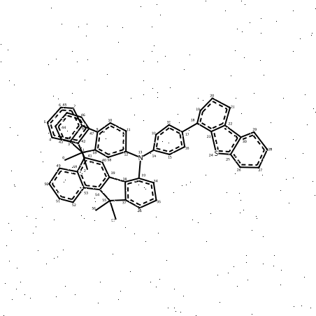 CC1(C)c2ccccc2-c2ccc(N(c3ccc(-c4cccc5c4sc4ccccc45)cc3)c3cccc4c3-c3cc(-c5ccccc5)c5ccccc5c3C4(C)C)cc21